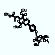 CC(C)(C)OC(=O)NCCN(C(=O)OC(C)(C)C)C1=NCC(c2ccc(OC[C@@H](O[Si](C)(C)C(C)(C)C)C(=O)OC(C)(C)C)cc2)CN1C(=O)OC(C)(C)C